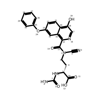 N#CN(CC[C@@H](NC(N)=O)C(=O)O)C(=O)c1ncc(O)c2ccc(Oc3ccccc3)cc12